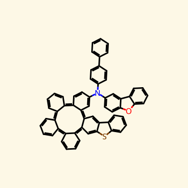 c1ccc(-c2ccc(N(c3ccc4oc5ccccc5c4c3)c3ccc4c5ccccc5c5ccccc5c5ccccc5c5cc6sc7ccccc7c6cc5c4c3)cc2)cc1